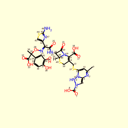 CC1=NC2=CN(C(=O)O)NN2C(SCC2=C(C(=O)O)N3C(=O)[C@@H](NC(=O)C(=NOC(C)(C(=O)O)c4ccc(O)c(O)c4)c4csc(N)n4)[C@H]3SC2)=C1